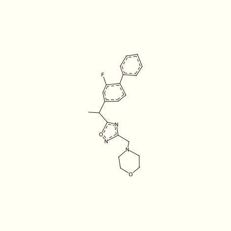 CC(c1ccc(-c2ccccc2)c(F)c1)c1nc(CN2CCOCC2)no1